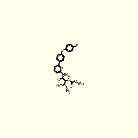 C[C@H](O)C(NC(=O)OC(C)(C)C)C(=O)Nc1cccc(-c2ccc(Oc3ccc(F)cc3)cc2)n1